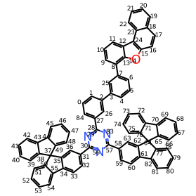 c1cc(-c2cccc(-c3cccc4c3oc3ccc5ccccc5c34)c2)cc(-c2nc(-c3ccc4c(c3)C3(c5ccccc5-c5ccccc53)c3ccccc3-4)nc(-c3ccc4c(c3)C3(c5ccccc5-c5ccccc53)c3ccccc3-4)n2)c1